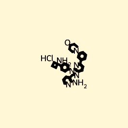 Cl.Nc1ncccc1-c1nc2ccc(-c3cccc(N4CCC(=O)CC4)c3)nc2n1-c1ccc(C2(N)CCC2)cc1